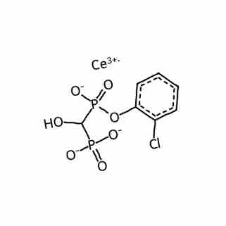 O=P([O-])([O-])C(O)P(=O)([O-])Oc1ccccc1Cl.[Ce+3]